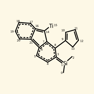 C[Si](C)=c1ccc2c(c1C1=CC=CC1)[C]([Ti])=c1ccccc1=2